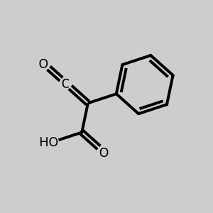 O=C=C(C(=O)O)c1ccccc1